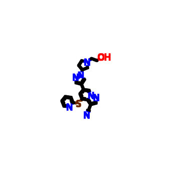 N#Cc1cnn2cc(-c3cnn(C4CCN(CCO)C4)c3)cc(Sc3ccccn3)c12